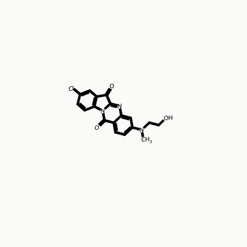 CN(CCO)c1ccc2c(=O)n3c(nc2c1)C(=O)c1cc(Cl)ccc1-3